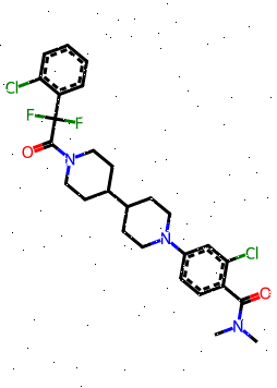 CN(C)C(=O)c1ccc(N2CCC(C3CCN(C(=O)C(F)(F)c4ccccc4Cl)CC3)CC2)cc1Cl